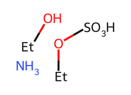 CCO.CCOS(=O)(=O)O.N